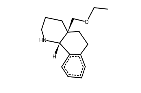 CCOC[C@]12CCCN[C@H]1c1ccccc1CC2